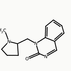 CN1CCCC1Cn1c(=O)ncc2ccccc21